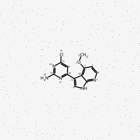 COc1ccnc2[nH]cc(-c3cc(Cl)nc(N)n3)c12